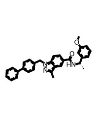 COc1cccc([C@H](C)NC(=O)c2ccc3c(c2)c(C)nn3Cc2ccc(-c3ccccc3)cc2)c1